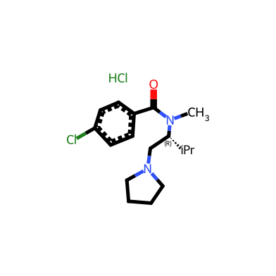 CC(C)[C@H](CN1CCCC1)N(C)C(=O)c1ccc(Cl)cc1.Cl